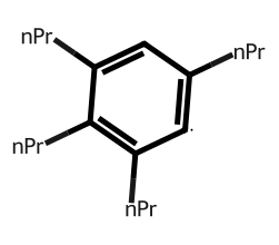 CCCc1[c]c(CCC)c(CCC)c(CCC)c1